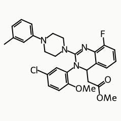 COC(=O)CC1c2cccc(F)c2N=C(N2CCN(c3cccc(C)c3)CC2)N1c1cc(Cl)ccc1OC